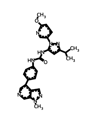 COc1ccc(-n2nc(C(C)C)cc2NC(=O)Nc2ccc(-c3cncc4c3cnn4C)cc2)cn1